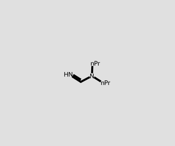 CCCN(C=N)CCC